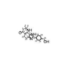 CC1(C)CC(=O)C2=C(N1)c1[nH]c(-c3ccc(CO)cc3)nc1CC2